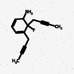 CC#CCC1=CC=CC(N)C1(F)CC#CC